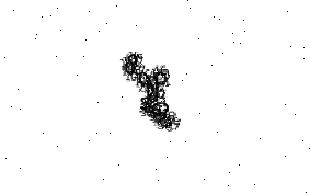 c1ccc(N(c2ccc(-c3cccc4ccccc34)cc2)c2ccc3c(c2)sc2ccc4c5cc6ccccc6cc5oc4c23)cc1